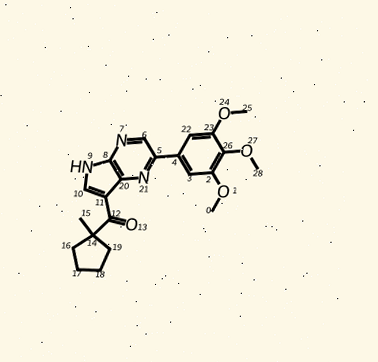 COc1cc(-c2cnc3[nH]cc(C(=O)C4(C)CCCC4)c3n2)cc(OC)c1OC